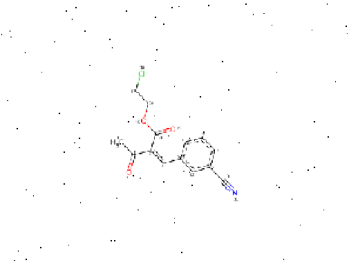 CC(=O)C(=Cc1cccc(C#N)c1)C(=O)OCCCl